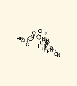 CCc1cc(NC(=O)c2ncc(-c3cn(Cc4cccnc4)nc3C(F)(F)F)n2C)ccc1C(=O)N1CCN(C(=O)[C@@H]2CCNC2)CC1